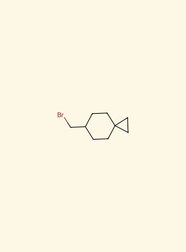 BrCC1CCC2(CC1)CC2